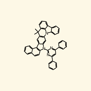 CC1(C)c2cc3c4c5ccccc5ccc4n(-c4nc(-c5ccccc5)cc(-c5ccccc5)n4)c3cc2-n2c3ccccc3c3cccc1c32